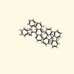 c1ccc(-n2c(-c3c4ccccc4c(-c4cccc5c4-c4ccccc4C54c5ccccc5-c5ccccc54)c4ccccc34)nc3ccccc32)cc1